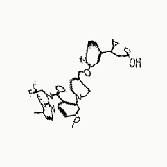 COc1ccc(C(=O)N(CC(F)(F)F)c2nccc(C)n2)c(N2CCC(COc3cc(C(CC(=O)O)C4CC4)ccn3)CC2)c1